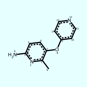 Cc1nc(N)ccc1Oc1c[c]ncc1